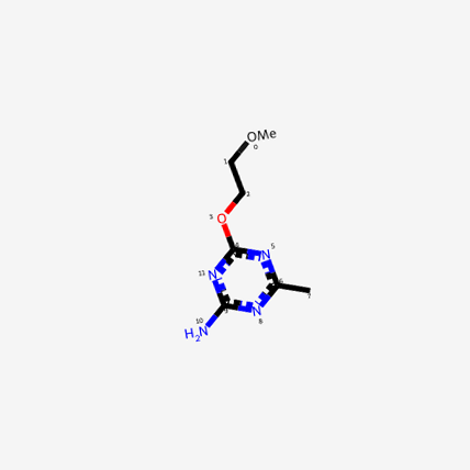 COCCOc1nc(C)nc(N)n1